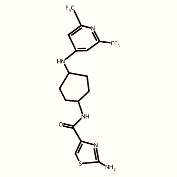 Nc1nc(C(=O)NC2CCC(Nc3cc(C(F)(F)F)nc(C(F)(F)F)c3)CC2)cs1